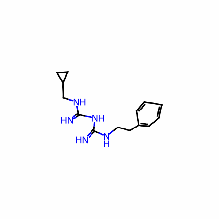 N=C(NCCc1ccccc1)NC(=N)NCC1CC1